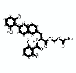 CC(C)(C)C(=O)OCOC(=O)C(Cc1ccc2nc(-c3c(Cl)cccc3Cl)ccc2c1)NC(=O)c1c(Cl)cccc1Cl